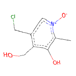 Cc1c(O)c(CO)c(CCl)c[n+]1[O-]